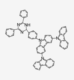 c1ccc(C2=NC(c3ccc(-n4c5ccc(-n6c7ccccc7c7ccccc76)cc5c5cc(-n6c7ccccc7c7ccccc76)ccc54)cc3)NC(c3ccccc3)=N2)cc1